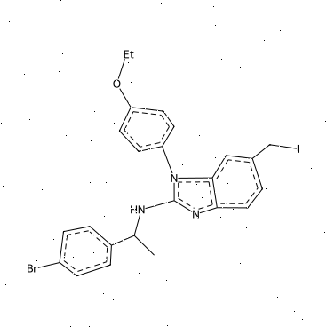 CCOc1ccc(-n2c(NC(C)c3ccc(Br)cc3)nc3ccc(CI)cc32)cc1